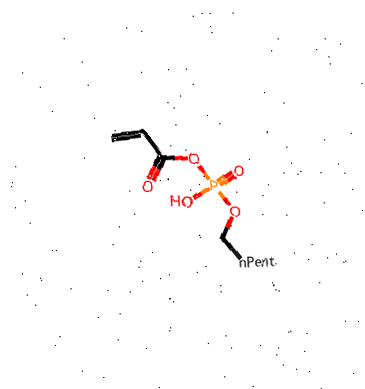 C=CC(=O)OP(=O)(O)OCCCCCC